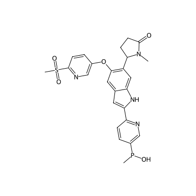 CN1C(=O)CCC1c1cc2[nH]c(-c3ccc(P(C)O)cn3)cc2cc1Oc1ccc(S(C)(=O)=O)nc1